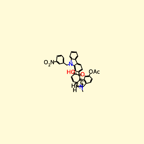 CC(=O)Oc1ccc2c3c1O[C@@]1(c4ccc5c6ccccc6n(Cc6cccc([N+](=O)[O-])c6)c5c4)[C@@H](O)C=C[C@H]4[C@@H](C2)N(C)CC[C@@]341